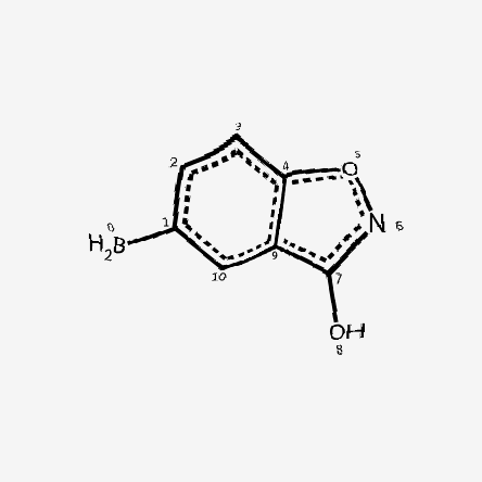 Bc1ccc2onc(O)c2c1